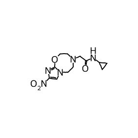 O=C(CN1CCOc2nc([N+](=O)[O-])cn2CC1)NC1CC1